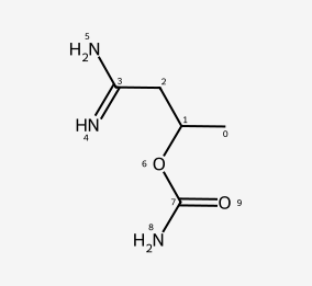 CC(CC(=N)N)OC(N)=O